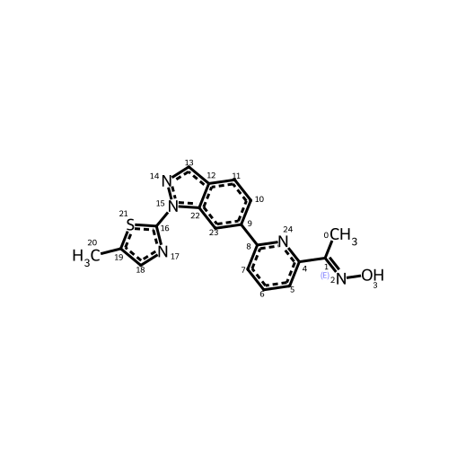 C/C(=N\O)c1cccc(-c2ccc3cnn(-c4ncc(C)s4)c3c2)n1